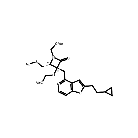 COCO[C@@]1(Cc2nccc3oc(CCC4CC4)cc23)C(=O)N(COC)[C@H]1CSC(C)=O